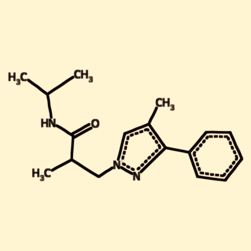 Cc1cn(CC(C)C(=O)NC(C)C)nc1-c1ccccc1